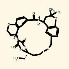 CC[C@]12CCCOCc3ccc4c(c3)[C@H](CC(C)(C)O4)NC(=O)c3ccc4c(c3)[C@@H](CCO4)N(C(=N)N1)C(=O)C2